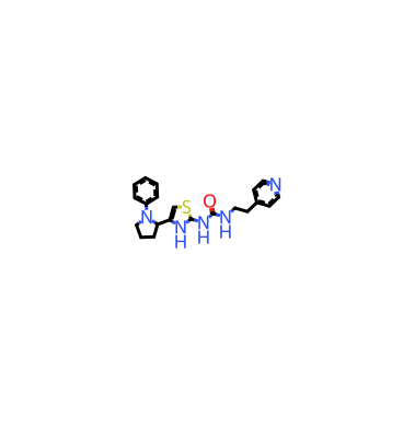 O=C(NCCc1ccncc1)NC1NC(C2CCCN2c2ccccc2)=CS1